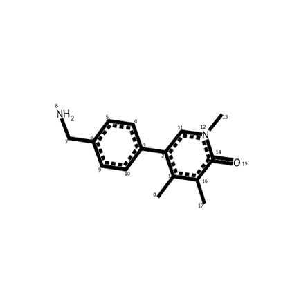 Cc1c(-c2ccc(CN)cc2)cn(C)c(=O)c1C